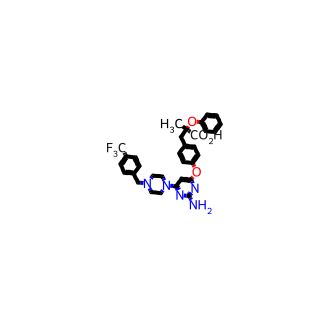 CC(Cc1ccc(Oc2cc(N3CCN(Cc4ccc(C(F)(F)F)cc4)CC3)nc(N)n2)cc1)(Oc1ccccc1)C(=O)O